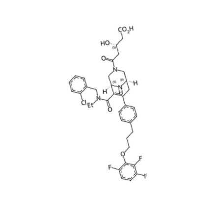 CCN(Cc1ccccc1Cl)C(=O)C1=C(c2ccc(CCCOc3c(F)ccc(F)c3F)cc2)C[C@@H]2CN(C(=O)C[C@H](O)CC(=O)O)C[C@H]1N2